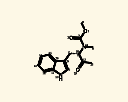 COC(=O)N(C)[C@@H](Cc1c[nH]c2ccccc12)C(C)=O